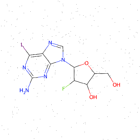 Nc1nc(I)c2ncn(C3OC(CO)C(O)C3F)c2n1